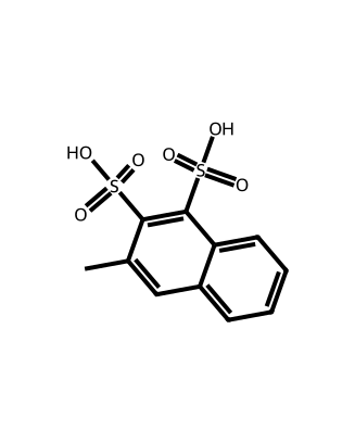 Cc1cc2ccccc2c(S(=O)(=O)O)c1S(=O)(=O)O